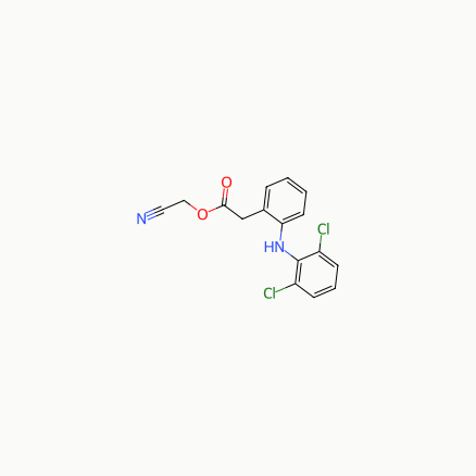 N#CCOC(=O)Cc1ccccc1Nc1c(Cl)cccc1Cl